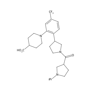 CC(C)N1CCC(C(=O)N2CCC(c3ccc(C(F)(F)F)cc3N3CCC(C(=O)O)CC3)C2)C1